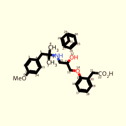 COc1ccc(CC(C)(C)NCC(O)COc2ccccc2CC(=O)O)cc1.c1cc2cc(c1)C2